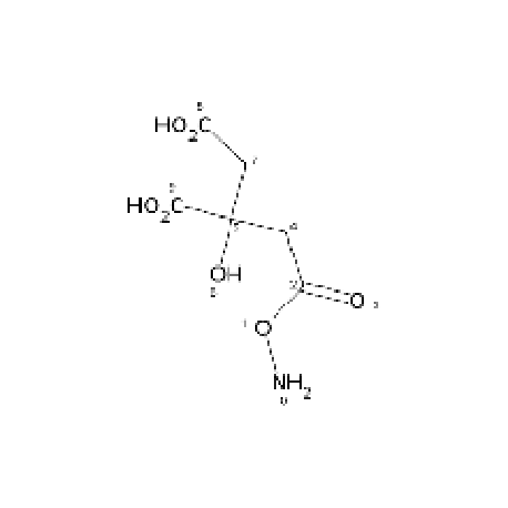 NOC(=O)CC(O)(CC(=O)O)C(=O)O